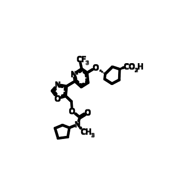 CN(C(=O)OCc1ocnc1-c1ccc(O[C@H]2CCC[C@H](C(=O)O)C2)c(C(F)(F)F)n1)C1CCCC1